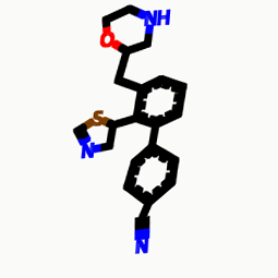 N#Cc1ccc(-c2cccc(CC3CNCCO3)c2C2CN=CS2)cc1